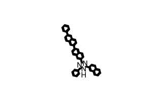 c1ccc(-c2ccc3cc(-c4ccc5cc(C6=NC(c7ccccc7)NC(c7ccc8ccccc8c7)=N6)ccc5c4)ccc3c2)cc1